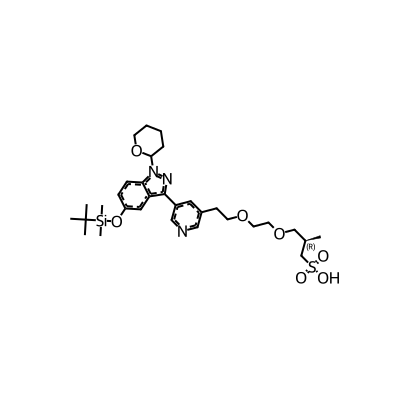 C[C@H](COCCOCCc1cncc(-c2nn(C3CCCCO3)c3ccc(O[Si](C)(C)C(C)(C)C)cc23)c1)CS(=O)(=O)O